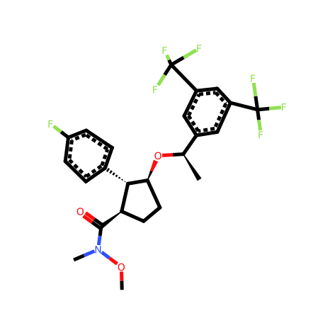 CON(C)C(=O)[C@@H]1CC[C@H](O[C@H](C)c2cc(C(F)(F)F)cc(C(F)(F)F)c2)[C@H]1c1ccc(F)cc1